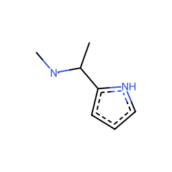 C[N]C(C)c1ccc[nH]1